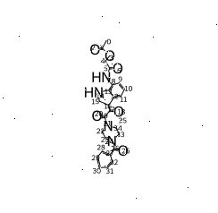 CC(=O)OCC(=O)Nc1cccc2c1NCC2C(=O)C(=O)N1CCN(C(=O)c2ccccc2)C[C@H]1C